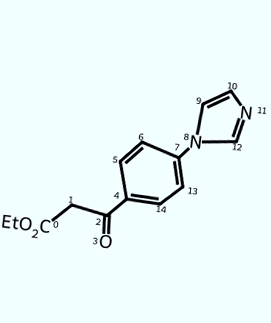 CCOC(=O)CC(=O)c1ccc(-n2ccnc2)cc1